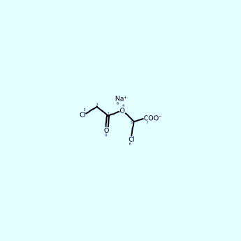 O=C(CCl)OC(Cl)C(=O)[O-].[Na+]